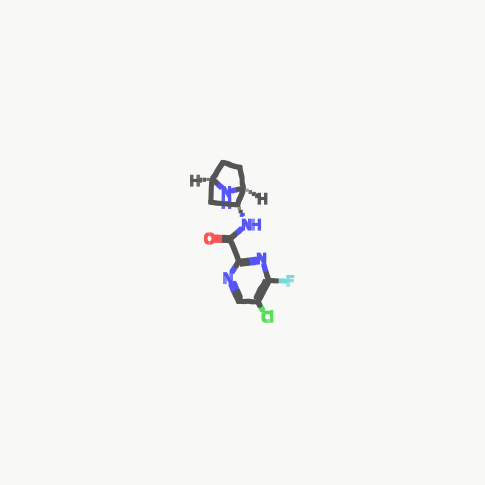 O=C(N[C@@H]1C[C@H]2CC[C@@H]1N2)c1ncc(Cl)c(F)n1